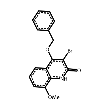 COc1cccc2c(OCc3ccccc3)c(Br)c(=O)[nH]c12